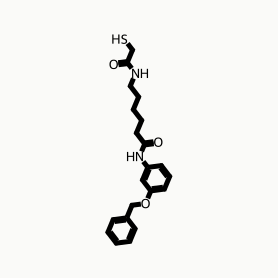 O=C(CS)NCCCCCC(=O)Nc1cccc(OCc2ccccc2)c1